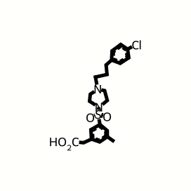 Cc1cc(CC(=O)O)cc(S(=O)(=O)N2CCN(CCCc3ccc(Cl)cc3)CC2)c1